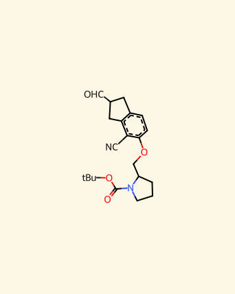 CC(C)(C)OC(=O)N1CCCC1COc1ccc2c(c1C#N)CC(C=O)C2